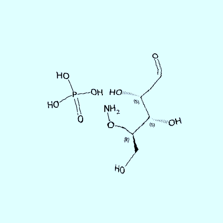 NO[C@H](CO)[C@@H](O)[C@H](O)C=O.O=P(O)(O)O